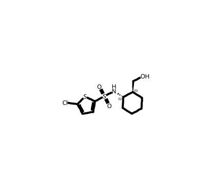 O=S(=O)(N[C@H]1CCCC[C@@H]1CO)c1ccc(Cl)s1